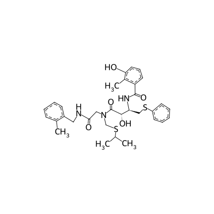 Cc1ccccc1CNC(=O)CN(CSC(C)C)C(=O)[C@@H](O)[C@H](CSc1ccccc1)NC(=O)c1cccc(O)c1C